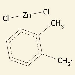 [CH2]c1ccccc1C.[Cl][Zn][Cl]